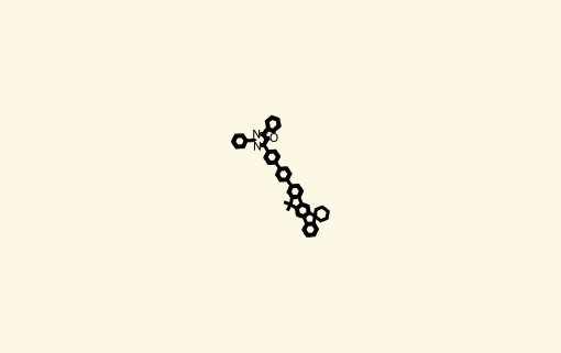 CC1(C)c2cc(-c3ccc(-c4ccc(-c5nc(-c6ccccc6)nc6c5oc5ccccc56)cc4)cc3)ccc2-c2cc3c(cc21)-c1ccccc1C31CCCCC1